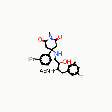 CC(=O)N[C@@H](Cc1cc(F)cc(F)c1)[C@H](O)CNC1(c2cccc(C(C)C)c2)CC(=O)N(C)C(=O)C1